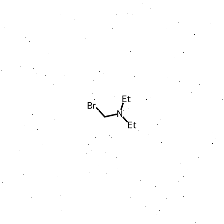 CCN(CC)CBr